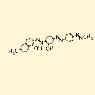 CN=Nc1ccc(N=Nc2ccc(N=Nc3ccc4cc(C)ccc4c3O)c(O)c2)cc1